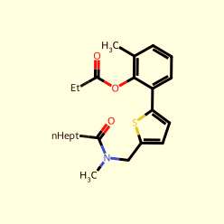 CCCCCCCC(=O)N(C)Cc1ccc(-c2cccc(C)c2OC(=O)CC)s1